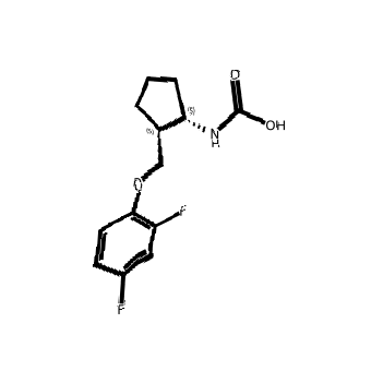 O=C(O)N[C@H]1CCC[C@@H]1COc1ccc(F)cc1F